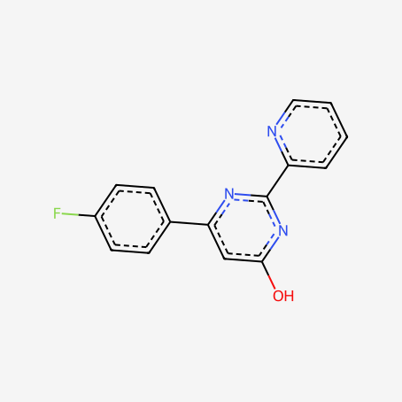 Oc1cc(-c2ccc(F)cc2)nc(-c2ccccn2)n1